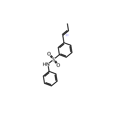 C/C=C/c1cccc(S(=O)(=O)Nc2ccccc2)c1